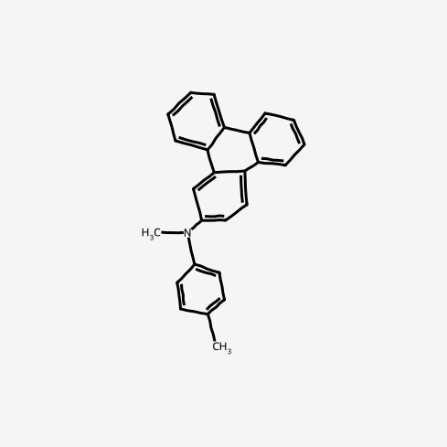 Cc1ccc(N(C)c2ccc3c4ccccc4c4ccccc4c3c2)cc1